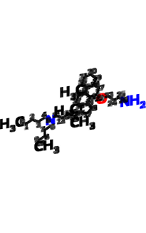 CCCCCN(CCCCC)CCC[C@@H](C)C1CCC2C3C(OCCCN)CC4CCCCC4(C)C3CCC21C